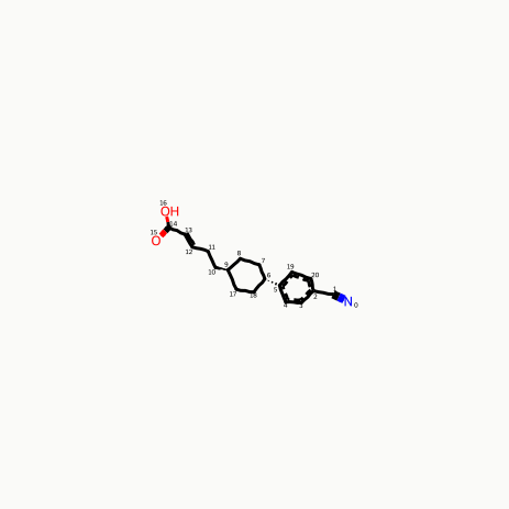 N#Cc1ccc([C@H]2CC[C@H](CC/C=C/C(=O)O)CC2)cc1